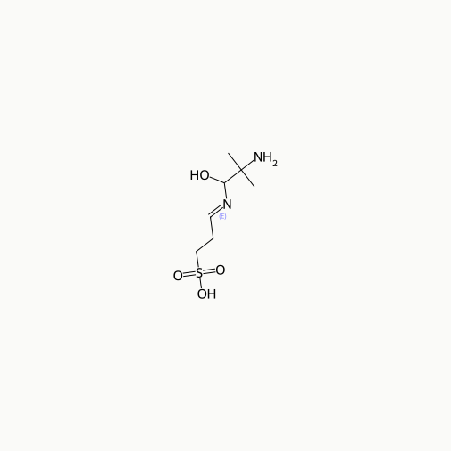 CC(C)(N)C(O)/N=C/CCS(=O)(=O)O